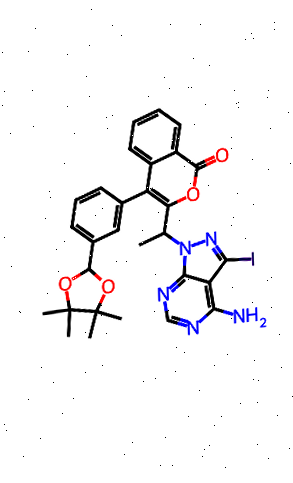 CC(c1oc(=O)c2ccccc2c1-c1cccc(C2OC(C)(C)C(C)(C)O2)c1)n1nc(I)c2c(N)ncnc21